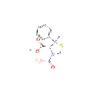 BC(=O)N1CSC(C)(c2ccccc2)C1C(=O)OC